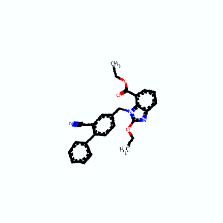 CCOC(=O)c1cccc2nc(OCC)n(Cc3ccc(-c4ccccc4)c(C#N)c3)c12